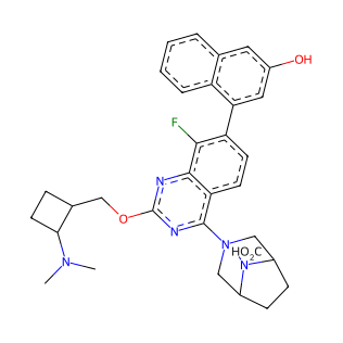 CN(C)C1CCC1COc1nc(N2CC3CCC(C2)N3C(=O)O)c2ccc(-c3cc(O)cc4ccccc34)c(F)c2n1